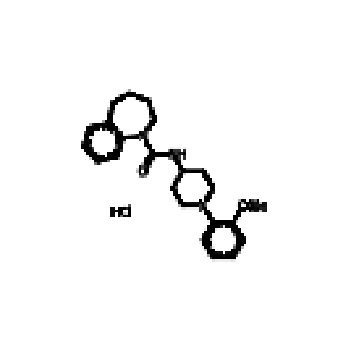 COc1ccccc1N1CCC(NC(=O)N2CCCCc3ccccc32)CC1.Cl